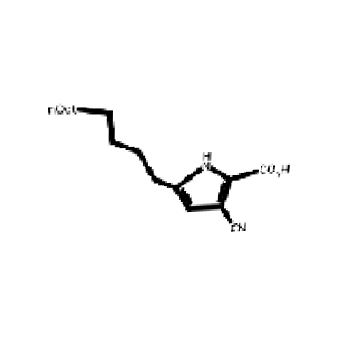 CCCCCCCCCCCCc1cc(C#N)c(C(=O)O)[nH]1